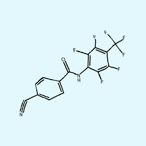 N#Cc1ccc(C(=O)Nc2c(F)c(F)c(C(F)(F)F)c(F)c2F)cc1